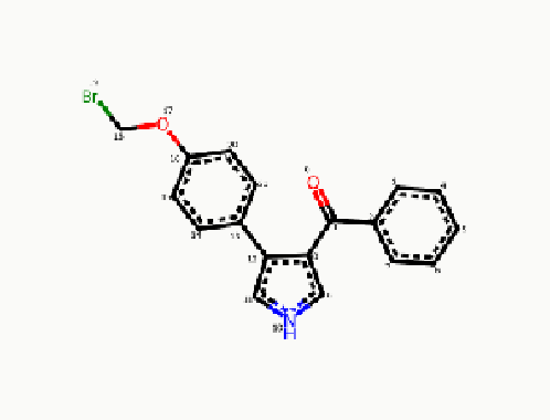 O=C(c1ccccc1)c1c[nH]cc1-c1ccc(OCBr)cc1